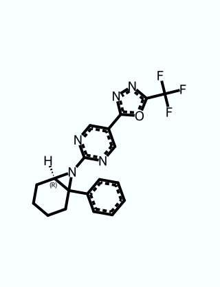 FC(F)(F)c1nnc(-c2cnc(N3[C@@H]4CCCCC43c3ccccc3)nc2)o1